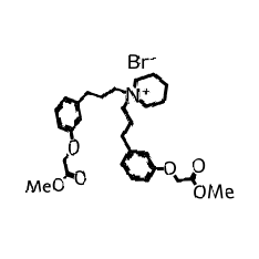 COC(=O)COc1cccc(CCC[N+]2(CCCc3cccc(OCC(=O)OC)c3)CCCCC2)c1.[Br-]